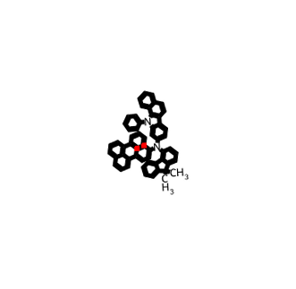 CC1(C)c2ccccc2-c2c(N(c3ccc(-c4cccc5cccc(-c6ccccc6)c45)cc3)c3ccc4c5ccc6ccccc6c5n(-c5ccccc5)c4c3)cccc21